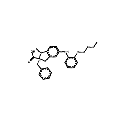 CCCCOc1ccccc1Nc1ccc2c(c1)C[C@@](Cc1ccccc1)(C(=O)O)N2C